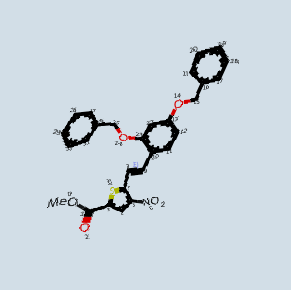 COC(=O)c1cc([N+](=O)[O-])c(/C=C/c2ccc(OCc3ccccc3)cc2OCc2ccccc2)s1